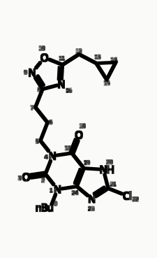 CCCCn1c(=O)n(CCCc2noc(CC3CC3)n2)c(=O)c2[nH]c(Cl)nc21